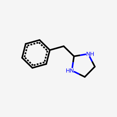 c1ccc(CC2NCCN2)cc1